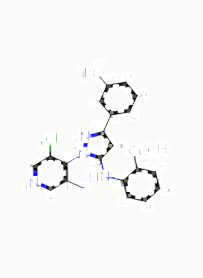 Cc1cncc(Cl)c1-n1nc(-c2cccc(C(C)C)c2)cc1Nc1ccccc1C(=O)O